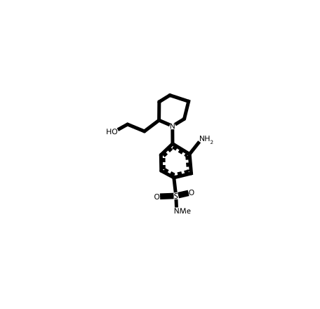 CNS(=O)(=O)c1ccc(N2CCCCC2CCO)c(N)c1